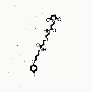 O=C(CCOCCNC(=O)CCN1C(=O)C=CC1=O)NCCCCOc1ccc(I)cc1